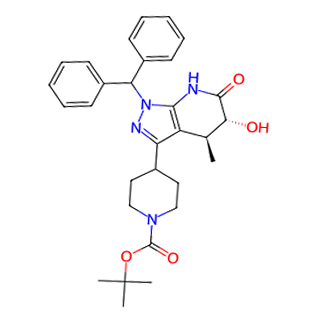 C[C@H]1c2c(C3CCN(C(=O)OC(C)(C)C)CC3)nn(C(c3ccccc3)c3ccccc3)c2NC(=O)[C@@H]1O